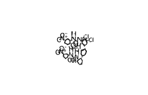 O=C(Nc1cc([N+](=O)[O-])ccc1O)Nc1cccc(Cl)c1Cl.O=C(Nc1cc([N+](=O)[O-])ccc1O)Nc1ccccc1-c1ccccc1